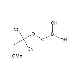 COCC(C#N)(C#N)OOB(O)O